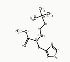 COC(=O)[C@H](Cc1cscn1)NCCC(C)(C)C